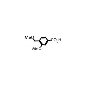 COCc1ccc(C(=O)O)cc1OC